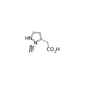 O=C(O)Cc1cc[nH]n1.[Br-].[H+]